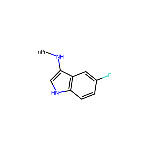 CCCNc1c[nH]c2ccc(F)cc12